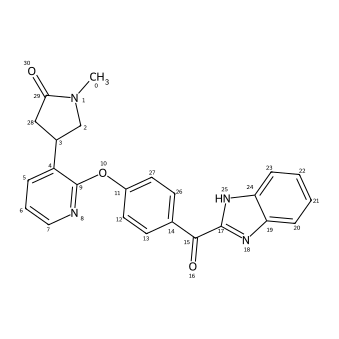 CN1CC(c2cccnc2Oc2ccc(C(=O)c3nc4ccccc4[nH]3)cc2)CC1=O